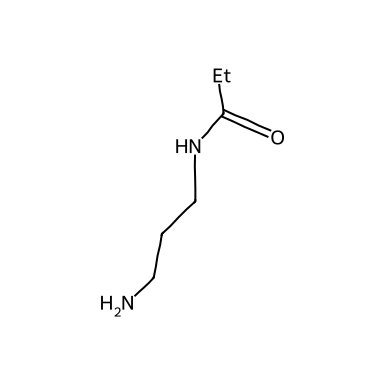 [CH2]CC(=O)NCCCN